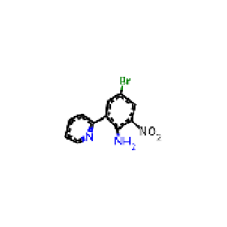 Nc1c(-c2ccccn2)cc(Br)cc1[N+](=O)[O-]